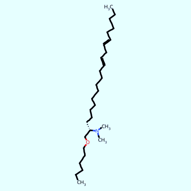 CCCCCC=CCC=CCCCCCCCCC[C@@H](COCCCCCC)N(C)C